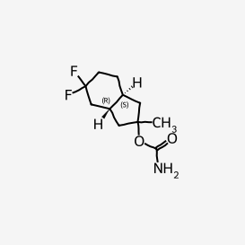 CC1(OC(N)=O)C[C@@H]2CCC(F)(F)C[C@H]2C1